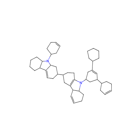 C1=CCC(C2C=C(C3CCCCC3)CC(N3C4=C(CC(C5CC=C6C7CCCCC7N(C7CC=CCC7)C6C5)CC4)C4C=CCCC43)C2)CC1